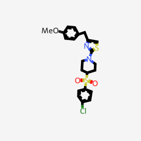 COc1ccc(Cc2csc(N3CCC(S(=O)(=O)c4ccc(Cl)cc4)CC3)n2)cc1